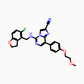 COCCOc1ccc(-c2cnc(NCc3c(F)ccc4c3CCO4)n3cc(C#N)nc23)cc1